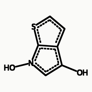 Oc1cn(O)c2sccc12